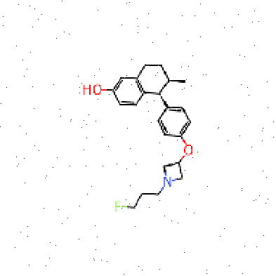 C[C@@H]1CCc2cc(O)ccc2[C@@H]1c1ccc(OC2CN(CCCF)C2)cc1